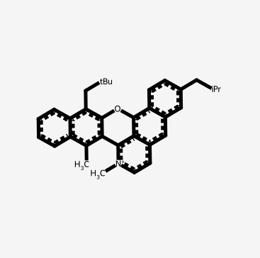 Cc1c2c(c(CC(C)(C)C)c3ccccc13)Oc1c3ccc(CC(C)C)cc3cc3cc[n+](C)c-2c13